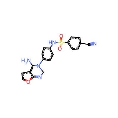 N#Cc1ccc(S(=O)(=O)Nc2ccc(N3CN=c4occc4=C3N)cc2)cc1